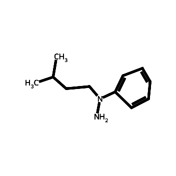 CC(C)CCN(N)c1ccccc1